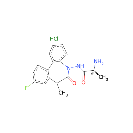 CC1C(=O)N(NC(=O)[C@H](C)N)c2ccccc2-c2ccc(F)cc21.Cl